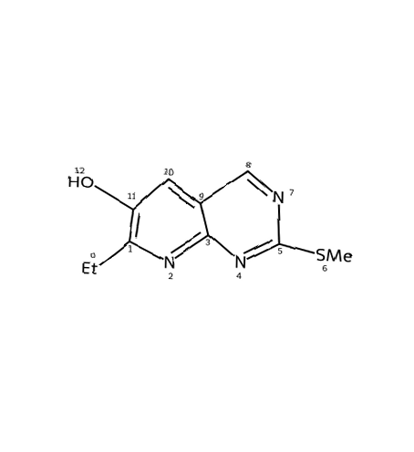 CCc1nc2nc(SC)ncc2cc1O